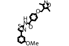 COc1cccc(-c2csc(NC(=O)c3ccc(OCc4c(C)noc4C)cc3)n2)c1